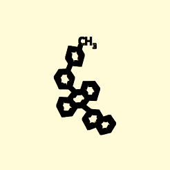 Cc1ccc(-c2cccc(-c3c4ccccc4c(-c4ccc5ccccc5c4)c4ccccc34)c2)cc1